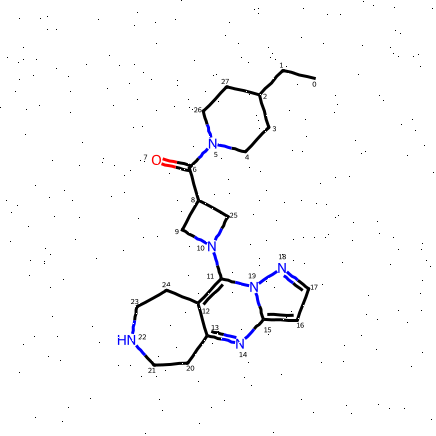 CCC1CCN(C(=O)C2CN(c3c4c(nc5ccnn35)CCNCC4)C2)CC1